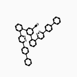 N#Cc1cc(-c2ccccc2-c2ccc(-c3ccc(-c4ccccc4)cc3)nn2)cc(-c2ccccc2-c2ccc(-c3ccc(-c4ccccc4)cc3)nn2)c1